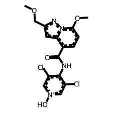 COCc1cc2c(C(=O)Nc3c(Cl)c[n+](O)cc3Cl)ccc(OC)n2n1